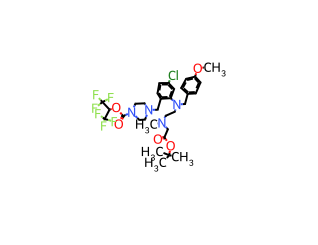 COc1ccc(CN(CCN(C)CC(=O)OC(C)(C)C)c2cc(Cl)ccc2CN2CCN(C(=O)OC(C(F)(F)F)C(F)(F)F)CC2)cc1